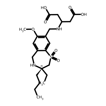 CCCC[C@]1(CC)CS(=O)(=O)c2cc(CNC(CC(=O)O)CC(=O)O)c(OC)cc2CN1